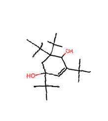 CC(C)(C)C1=CC(O)(C(C)(C)C)CC(C(C)(C)C)(C(C)(C)C)C1O